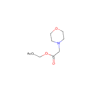 CC(=O)OCOC(=O)CN1CCOCC1